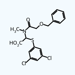 CN(C(=O)COCc1ccccc1)C(Sc1cc(Cl)cc(Cl)c1)C(=O)O